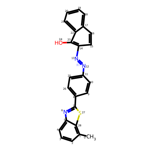 Cc1cccc2nc(-c3ccc(/N=N/c4ccc5ccccc5c4O)cc3)sc12